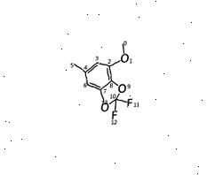 COc1cc(C)cc2c1OC(F)(F)O2